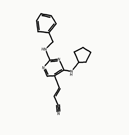 N#CC=Cc1cnc(NCc2ccccc2)nc1NC1CCCC1